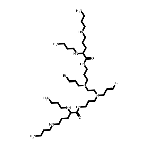 CCC=CCN(CCCNC(=O)C(CCCNCCCN)NCCCN)CCN(CC=CCC)CCCNC(=O)C(CCCNCCCN)NCCCN